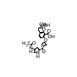 CC(=O)N[C@@H]1CN[C@H](C(=O)N2CC(Oc3ccc4c(c3C(=O)O)O[B-](O)(O)CC4)C2)C1